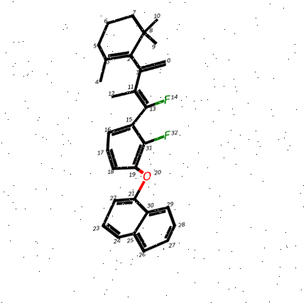 C=C(C1=C(C)CCCC1(C)C)/C(C)=C(\F)c1cccc(Oc2cccc3ccccc23)c1F